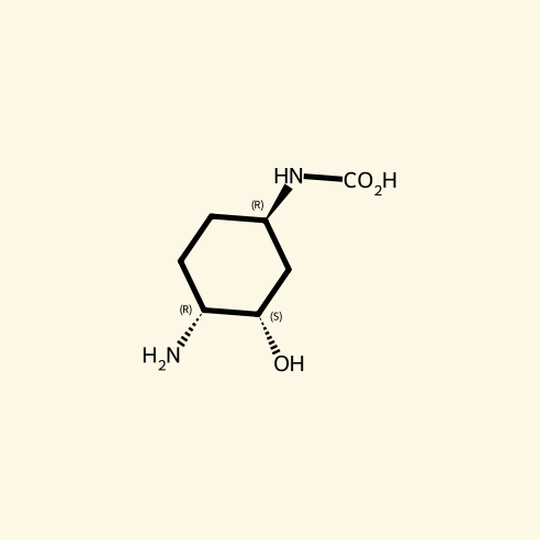 N[C@@H]1CC[C@@H](NC(=O)O)C[C@@H]1O